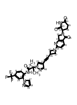 CC(C)(C(=O)Nc1ccc(C(F)(F)F)cc1-n1cccn1)n1cc(C#CC2CN(c3ccc4c(n3)CN(C3CCC(=O)NC3=O)C4=O)C2)cn1